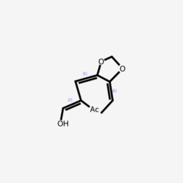 C/C=C1/OCO/C1=C/C(=C/O)C(C)=O